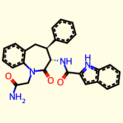 NC(=O)CN1C(=O)[C@@H](NC(=O)c2cc3ccccc3[nH]2)[C@H](c2ccccc2)Cc2ccccc21